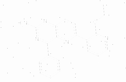 CCOc1ncccc1-c1ccc2nc(N)nc(-c3ccccc3)c2n1